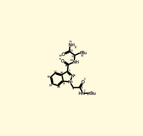 CC(C)(C)NC(=O)Cn1nc(C(=O)NC(C(N)=O)C(C)(C)C)c2ccccc21